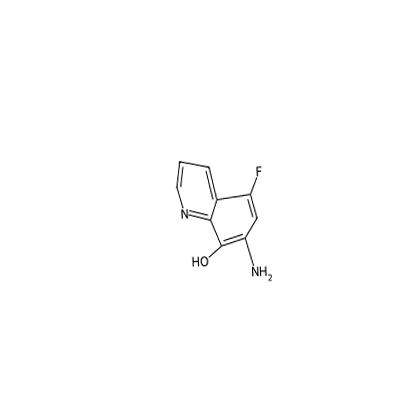 Nc1cc(F)c2cccnc2c1O